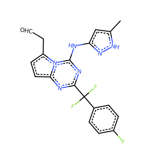 Cc1cc(Nc2nc(C(F)(F)c3ccc(F)cc3)nc3ccc(CC=O)n23)n[nH]1